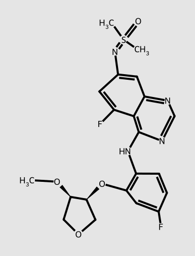 CO[C@@H]1COC[C@@H]1Oc1cc(F)ccc1Nc1ncnc2cc(N=S(C)(C)=O)cc(F)c12